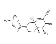 C[C@@H]1C(=O)C(C#N)=CC2(C)CN(C(=O)OC(C)(C)C)CC[C@@H]12